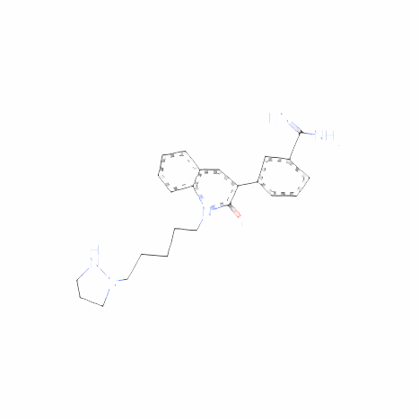 N=C(N)c1cccc(-c2cc3ccccc3n(CCCCCN3CCCN3)c2=O)c1